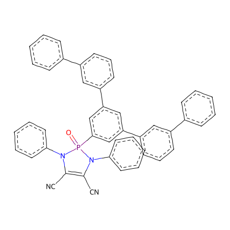 N#CC1=C(C#N)N(c2ccccc2)P(=O)(c2cc(-c3cccc(-c4ccccc4)c3)cc(-c3cccc(-c4ccccc4)c3)c2)N1c1ccccc1